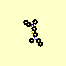 c1ccc(N(c2ccc3ccccc3c2)c2ccc3c(c2)sc2cc(N(c4ccccc4)c4ccc5ccccc5c4)ccc23)cc1